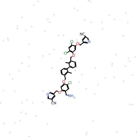 Cc1c(COc2cc(OCc3cncc(C#N)c3)c(Cl)cc2Cl)cccc1-c1cccc(COc2cc(OCc3cncc(C#N)c3)c(CN)cc2Cl)c1C